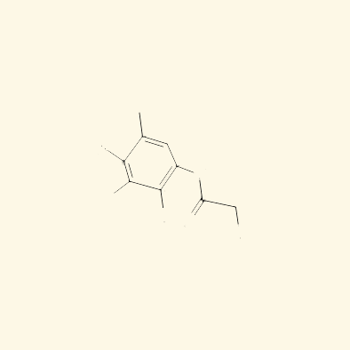 Cc1cc(OC(=O)CC(=O)O)c(Cl)c(C)c1[N+](=O)[O-]